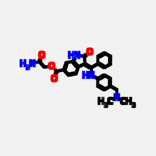 CN(C)Cc1ccc(NC(=C2C(=O)Nc3cc(C(=O)OCC(N)=O)ccc32)c2ccccc2)cc1